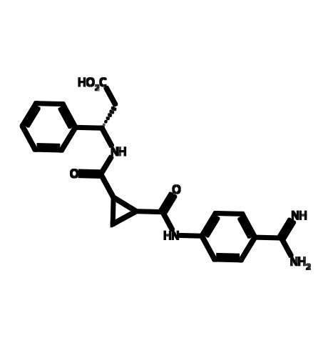 N=C(N)c1ccc(NC(=O)C2CC2C(=O)N[C@@H](CC(=O)O)c2ccccc2)cc1